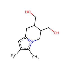 Cc1c(C(F)(F)F)cc2n1CC(CO)C(CO)C2